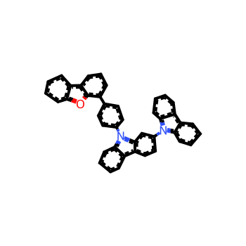 c1ccc2c(c1)oc1c(-c3ccc(-n4c5ccccc5c5ccc(-n6c7ccccc7c7ccccc76)cc54)cc3)cccc12